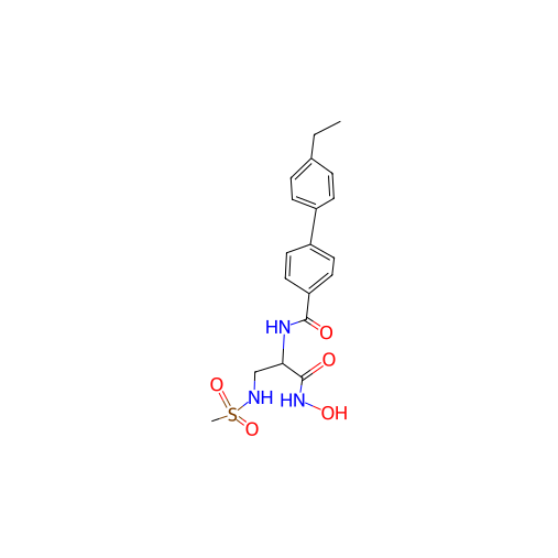 CCc1ccc(-c2ccc(C(=O)NC(CNS(C)(=O)=O)C(=O)NO)cc2)cc1